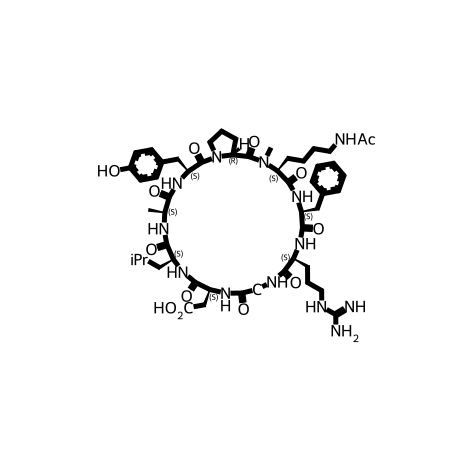 CC(=O)NCCCC[C@H]1C(=O)N[C@@H](Cc2ccccc2)C(=O)N[C@@H](CCCNC(=N)N)C(=O)NCC(=O)N[C@@H](CC(=O)O)C(=O)N[C@@H](CC(C)C)C(=O)N[C@@H](C)C(=O)N[C@@H](Cc2ccc(O)cc2)C(=O)N2CCC[C@@H]2C(=O)N1C